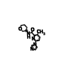 Cc1ccc(-n2ccnc2)nc1C(=O)N[C@@H]1CCCOC1